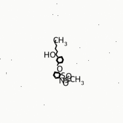 CCCCCC(O)c1cccc(COc2cccc3nc(S(=O)(=O)CC)sc23)c1